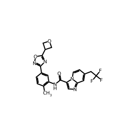 Cc1ccc(-c2noc(C3COC3)n2)cc1NC(=O)c1cnc2cc(CC(F)(F)F)ccn12